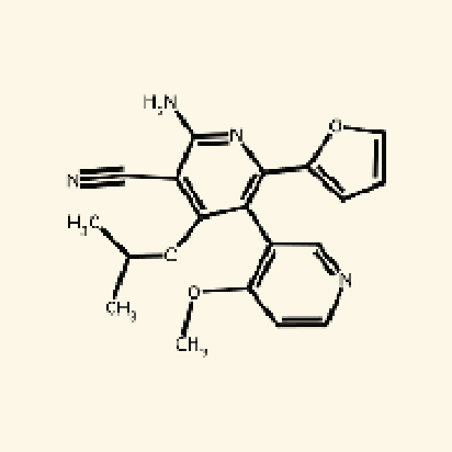 COc1ccncc1-c1c(-c2ccco2)nc(N)c(C#N)c1OC(C)C